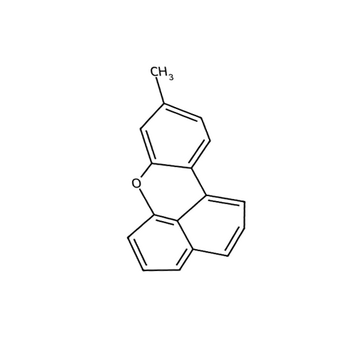 Cc1ccc2c(c1)Oc1cccc3cccc-2c13